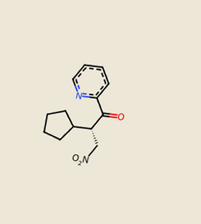 O=C(c1ccccn1)[C@H](C[N+](=O)[O-])C1CCCC1